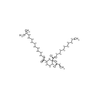 C=CC(=O)OC1(C(=O)OCCCCCCCCCC)CCCC(C(=O)OCCCCCCCCCCC(C)C)C1